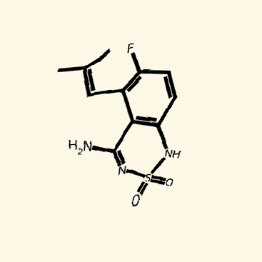 CC(C)=Cc1c(F)ccc2c1C(N)=NS(=O)(=O)N2